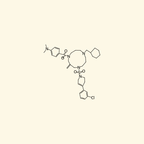 C=C1CN(S(=O)(=O)c2ccc(N(C)C)cc2)CCCN(CC2CCCCC2)CCCN(S(=O)(=O)N2CC=C(c3cccc(Cl)c3)CC2)C1